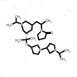 CC(C)N1CCC(N2CCC(OC(C)(C)[C@H]3CC(CC(C)N4CCCC4=O)CN(C(C)C)C3)C2)C1